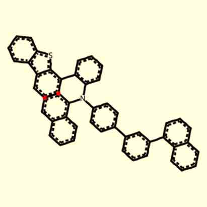 c1cc(-c2ccc(N(c3ccccc3-c3cccc4c3sc3ccccc34)c3cccc4ccccc34)cc2)cc(-c2cccc3ccccc23)c1